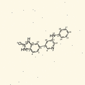 O=c1[nH]c2ccc(-c3cncc(Nc4ccccc4)c3)cc2[nH]1